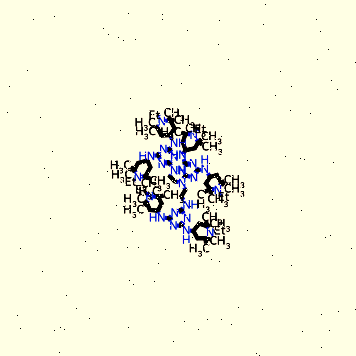 CCN1C(C)(C)CC(Nc2nc(NCCN(CCNc3nc(NC4CC(C)(C)N(CC)C(C)(C)C4)nc(NC4CC(C)(C)N(CC)C(C)(C)C4)n3)c3nc(NC4CC(C)(C)N(CC)C(C)(C)C4)nc(NC4CC(C)(C)N(CC)C(C)(C)C4)n3)nc(NC3CC(C)(C)N(CC)C(C)(C)C3)n2)CC1(C)C